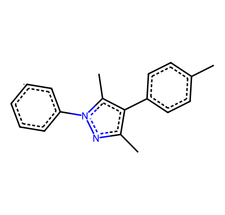 Cc1ccc(-c2c(C)nn(-c3c[c]ccc3)c2C)cc1